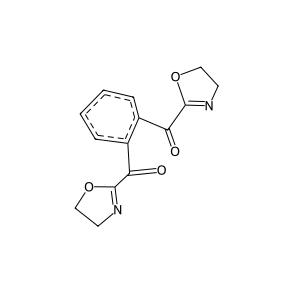 O=C(C1=NCCO1)c1ccccc1C(=O)C1=NCCO1